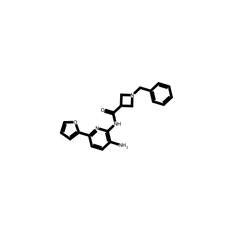 Nc1ccc(-c2ccco2)nc1NC(=O)C1CN(Cc2ccccc2)C1